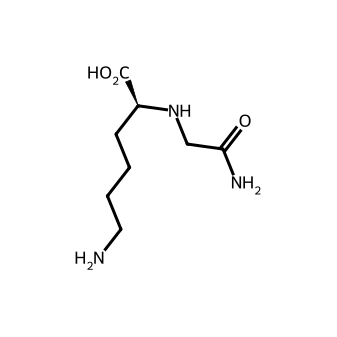 NCCCC[C@H](NCC(N)=O)C(=O)O